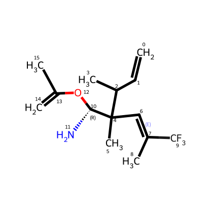 C=CC(C)C(C)(/C=C(\C)C(F)(F)F)[C@H](N)OC(=C)C